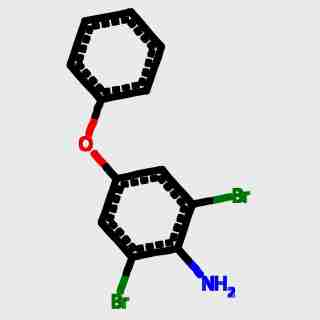 Nc1c(Br)cc(Oc2ccccc2)cc1Br